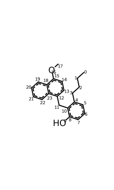 CCCCc1cccc(O)c1Cc1ccc(OC)c2ccccc12